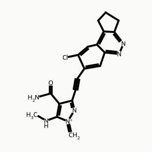 C=[N+]1N=C(C#Cc2cc3nnc4c(c3cc2Cl)CCC4)C(C(N)=O)=C1NC